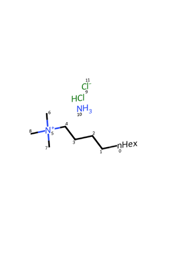 CCCCCCCCCC[N+](C)(C)C.Cl.N.[Cl-]